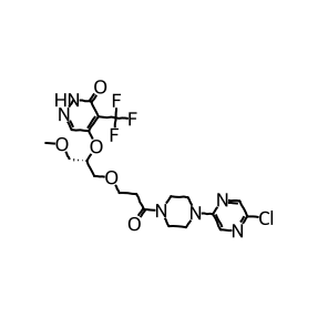 COC[C@@H](COCCC(=O)N1CCN(c2cnc(Cl)cn2)CC1)Oc1cn[nH]c(=O)c1C(F)(F)F